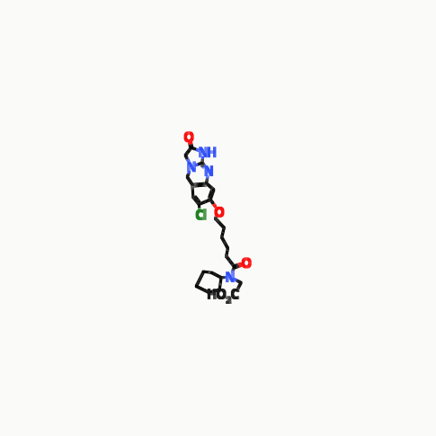 O=C(O)CN(C(=O)CCCCCOc1cc2c(cc1Cl)CN1CC(=O)NC1=N2)C1CCCCC1